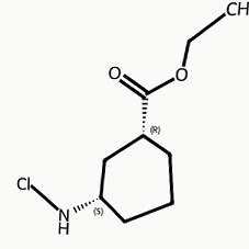 CCOC(=O)[C@@H]1CCC[C@H](NCl)C1